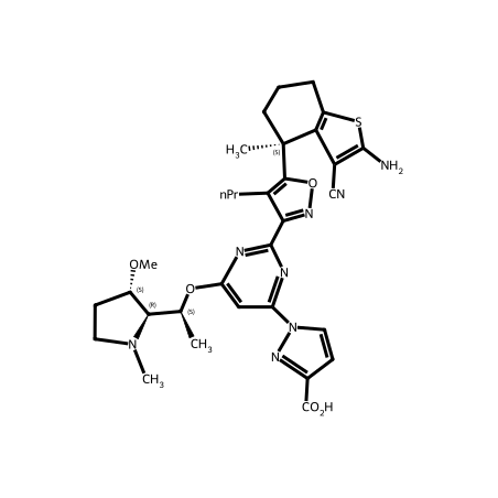 CCCc1c(-c2nc(O[C@@H](C)[C@@H]3[C@@H](OC)CCN3C)cc(-n3ccc(C(=O)O)n3)n2)noc1[C@@]1(C)CCCc2sc(N)c(C#N)c21